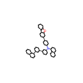 c1cc(-c2cccc(N(c3ccc(-c4ccc5c(c4)oc4ccccc45)cc3)c3cccc4ccccc34)c2)cc(-c2cccc3ccccc23)c1